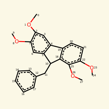 COc1cc2c(cc1OC)C(Cc1ccccc1)c1c-2ccc(OC)c1OC